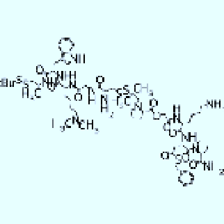 C[C@H](CSSC(C)(C)C)NC(=O)[C@H](Cc1c[nH]c2ccccc12)NC(=O)[C@H](CCCCN(C)C)NC(=O)CNC(=O)[C@@H](N)CSSC(C)(C)CN1CCC[C@H]1C(=O)OCC(=O)N[C@@H](CCCCN)C(=O)N[C@@H](CC(=O)SCc1ccccc1)C(=O)N1CCC[C@H]1C(N)=O